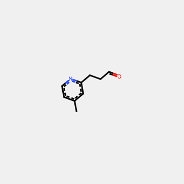 Cc1ccnc(CCC=O)c1